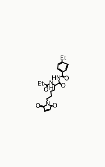 CCC(=O)NC(CCCCN1C(=O)C=CC1=O)C(=O)NC(=O)c1ccc(CC)cc1